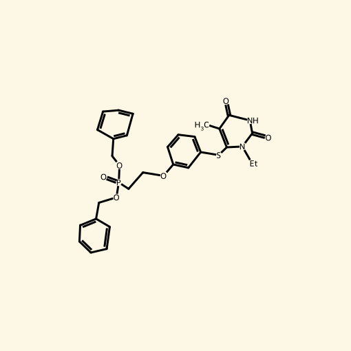 CCn1c(Sc2cccc(OCCP(=O)(OCc3ccccc3)OCc3ccccc3)c2)c(C)c(=O)[nH]c1=O